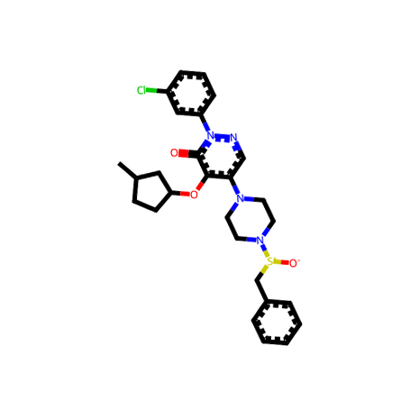 CC1CCC(Oc2c(N3CCN([S+]([O-])Cc4ccccc4)CC3)cnn(-c3cccc(Cl)c3)c2=O)C1